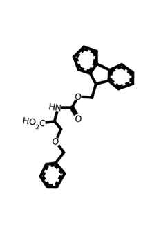 O=C(NC(COCc1ccccc1)C(=O)O)OCC1c2ccccc2-c2ccccc21